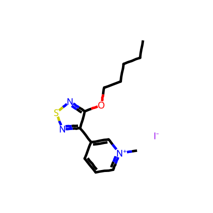 CCCCCOc1nsnc1-c1ccc[n+](C)c1.[I-]